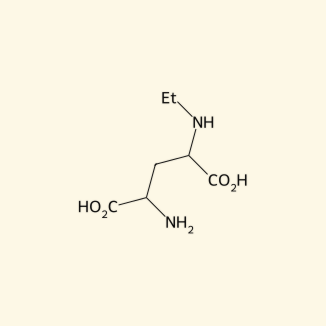 CCNC(CC(N)C(=O)O)C(=O)O